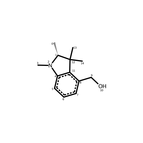 C[C@H]1N(C)c2cccc(CO)c2C1(C)C